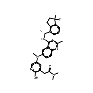 Cc1nc(N[C@H](C)c2cccc3c2CCC3(F)F)c2cc(N(C)c3cnc(O)c(CC(=O)N(C)C)c3)ccc2n1